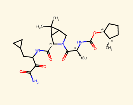 C[C@H]1CCC[C@@H]1OC(=O)N[C@H](C(=O)N1CC2C([C@H]1C(=O)NC(CC1CC1)C(=O)C(N)=O)C2(C)C)C(C)(C)C